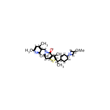 COc1nc(C)cc(C)c1CN1CCc2sc([C@H](C)C3CCC(N4CC(OC)C4)CC3)c(C)c2C1=O